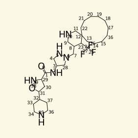 O=C(NC1CNN(CC2CNCC3(CCCCCCCCCC3)C2C(F)(F)F)C1)C1CC(C2CCNCC2)ON1